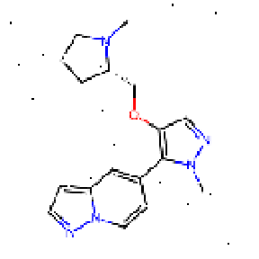 CN1CCC[C@H]1COc1cnn(C)c1-c1ccn2nccc2c1